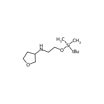 CC(C)(C)[Si](C)(C)OCCNC1CCOC1